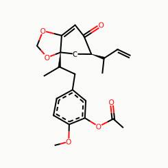 C=CC(C)[C@H]1C[C@]2(C(C)Cc3ccc(OC)c(OC(C)=O)c3)OCOC2=CC1=O